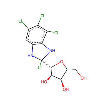 OC[C@H]1O[C@@H](C2(Cl)Nc3cc(Cl)c(Cl)c(Cl)c3N2)[C@H](O)[C@@H]1O